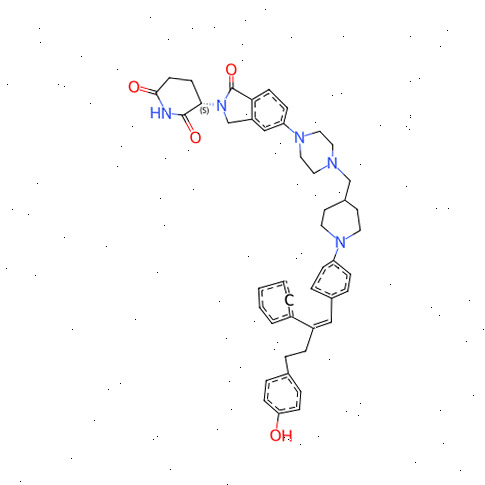 O=C1CC[C@H](N2Cc3cc(N4CCN(CC5CCN(c6ccc(C=C(CCc7ccc(O)cc7)c7ccccc7)cc6)CC5)CC4)ccc3C2=O)C(=O)N1